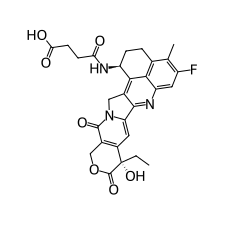 CC[C@@]1(O)C(=O)OCc2c1cc1n(c2=O)Cc2c-1nc1cc(F)c(C)c3c1c2[C@@H](NC(=O)CCC(=O)O)CC3